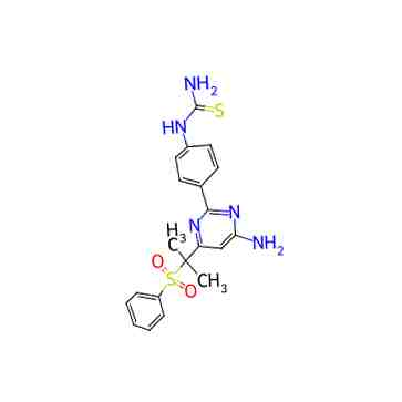 CC(C)(c1cc(N)nc(-c2ccc(NC(N)=S)cc2)n1)S(=O)(=O)c1ccccc1